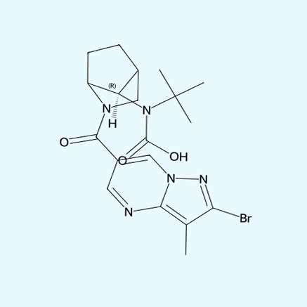 Cc1c(Br)nn2cc(C(=O)N3CC4CCC3[C@@H]4N(C(=O)O)C(C)(C)C)cnc12